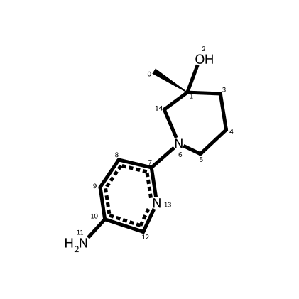 C[C@@]1(O)CCCN(c2ccc(N)cn2)C1